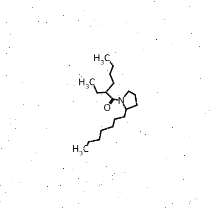 CCCCCCCC1CCCN1C(=O)C(CC)CCCC